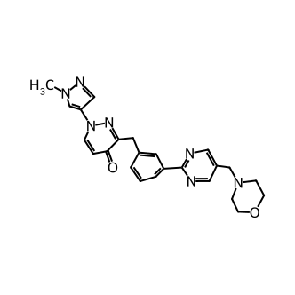 Cn1cc(-n2ccc(=O)c(Cc3cccc(-c4ncc(CN5CCOCC5)cn4)c3)n2)cn1